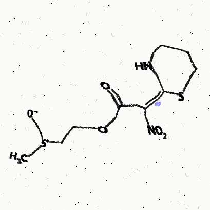 C[S+]([O-])CCOC(=O)/C(=C1\NCCCS1)[N+](=O)[O-]